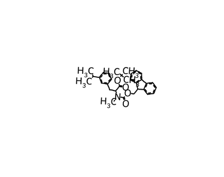 CC(C)c1cccc(CC(C(=O)OC(C)(C)C)N(C)C(=O)OCC2c3ccccc3-c3ccccc32)c1